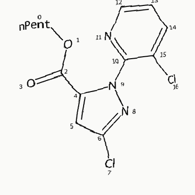 CCCCCOC(=O)c1cc(Cl)nn1-c1ncccc1Cl